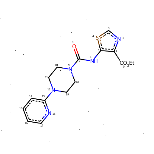 CCOC(=O)c1ncsc1NC(=O)N1CCN(c2ccccn2)CC1